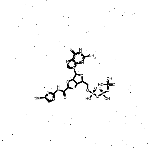 CC(C)(C)c1csc(NC(=O)C2OC3C(COP(=O)(O)OP(=O)(O)OP(=O)(O)O)OC(n4cnc5c(=S)[nH]c(N)nc54)C3O2)n1